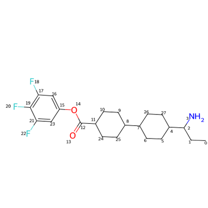 CCC(N)C1CCC(C2CCC(C(=O)Oc3cc(F)c(F)c(F)c3)CC2)CC1